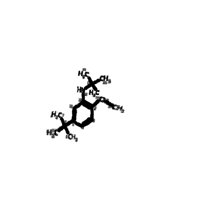 COc1ccc(C(C)(C)C)cc1NC(C)(C)C